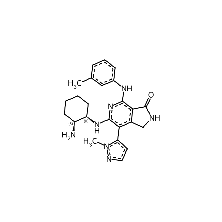 Cc1cccc(Nc2nc(N[C@@H]3CCCC[C@@H]3N)c(-c3ccnn3C)c3c2C(=O)NC3)c1